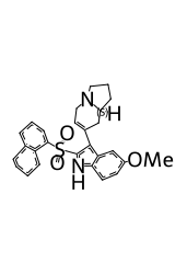 COc1ccc2[nH]c(S(=O)(=O)c3cccc4ccccc34)c(C3=CCN4CCC[C@H]4C3)c2c1